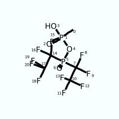 CP(=O)(O)OP(=O)(C(F)(F)C(F)(F)F)C(F)(F)C(F)(F)F